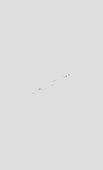 CC(C)(C)OC(=O)NCCCOc1ccc(CCCCNC(=O)OCc2ccccc2)cc1